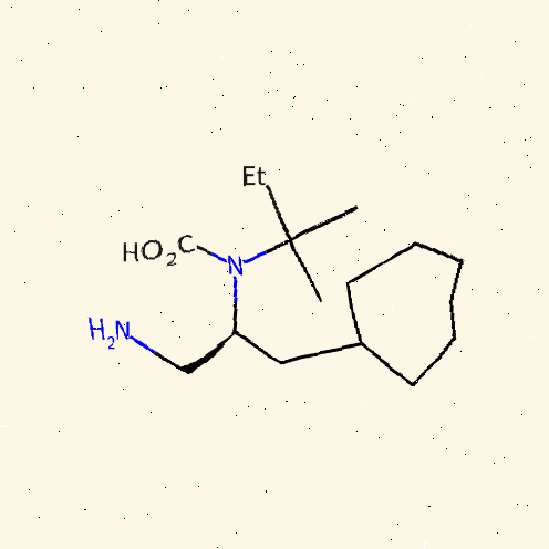 CCC(C)(C)N(C(=O)O)[C@H](CN)CC1CCCCC1